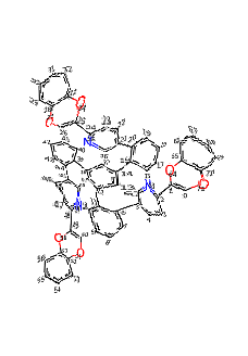 C1=C(c2ccc(-c3ccccc3-c3cc(-c4ccccc4-c4ccc(C5=COc6ccccc6O5)nc4)cc(-c4ccccc4-c4ccc(C5=COc6ccccc6O5)nc4)c3)cn2)Oc2ccccc2O1